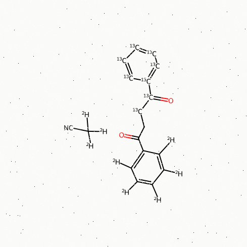 [2H]C([2H])([2H])C#N.[2H]c1c([2H])c([2H])c(C(=O)C[13CH2][13C](=O)[13c]2[13cH][13cH][13cH][13cH][13cH]2)c([2H])c1[2H]